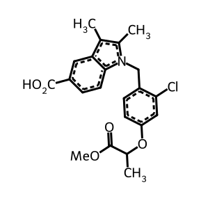 COC(=O)C(C)Oc1ccc(Cn2c(C)c(C)c3cc(C(=O)O)ccc32)c(Cl)c1